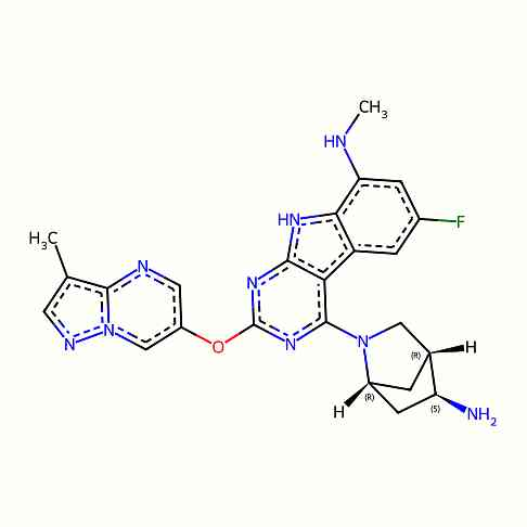 CNc1cc(F)cc2c1[nH]c1nc(Oc3cnc4c(C)cnn4c3)nc(N3C[C@H]4C[C@@H]3C[C@@H]4N)c12